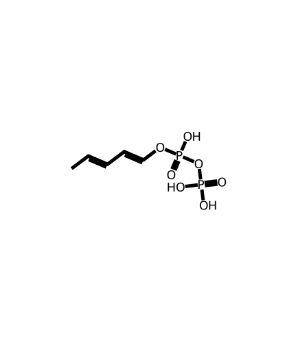 C/C=C/C=C/OP(=O)(O)OP(=O)(O)O